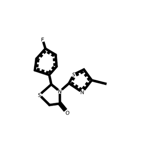 Cc1csc(N2C(=O)CSC2c2ccc(F)cc2)n1